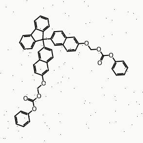 O=C(OCOc1ccc2cc(C3(c4ccc5cc(OCOC(=O)Oc6ccccc6)ccc5c4)c4ccccc4-c4ccccc43)ccc2c1)Oc1ccccc1